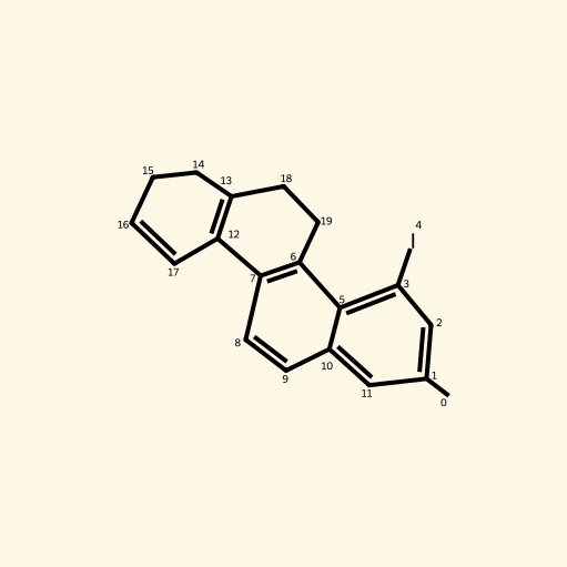 Cc1cc(I)c2c3c(ccc2c1)C1=C(CCC=C1)CC3